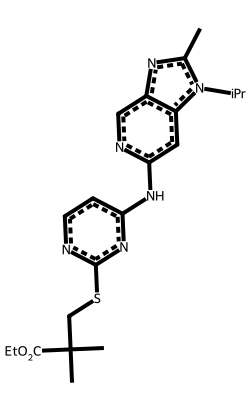 CCOC(=O)C(C)(C)CSc1nccc(Nc2cc3c(cn2)nc(C)n3C(C)C)n1